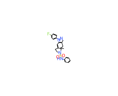 C[C@]12Cc3cnn(-c4ccc(F)cc4)c3C=C1CCN(S(=O)(=O)Nc1ccccc1)C2